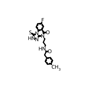 Cc1ccc(CC(=O)NCCCn2c(=O)c3cc(F)ccc3n3c(=S)[nH]nc23)cc1